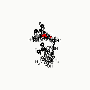 C[C@H](NC(=O)CCCC(=O)NCCCC[C@H](N)C(=O)N[C@@H](C)C(=O)N[C@H](CC(=O)O)C(=O)N[C@@H](CC(N)=O)C(=O)NCCCN(C(=O)CO)[C@@H](c1cc(-c2cc(F)ccc2F)cn1Cc1ccccc1)C(C)(C)C)C(=O)N[C@H](C)C(=O)N[C@@H](CC(N)=O)C(=O)N[C@@H](CCN(C(=O)CO)[C@@H](c1cc(-c2cc(F)ccc2F)cn1Cc1ccccc1)C(C)(C)C)C(=O)NCCC(=O)N[C@H](CCC(=O)O)C(=O)O